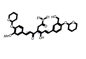 CCN(CC)C(=O)C/C(C(=O)/C=C/c1ccc(OC2CCCCO2)c(OC)c1)=C(O)\C=C\c1ccc(OC2CCCCO2)c(CO)c1